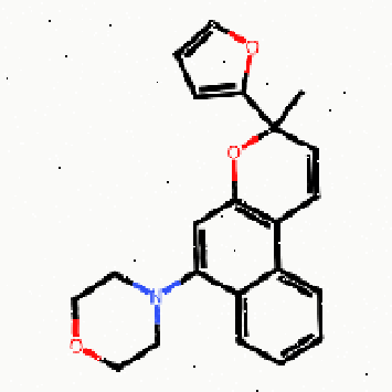 CC1(c2ccco2)C=Cc2c(cc(N3CCOCC3)c3ccccc23)O1